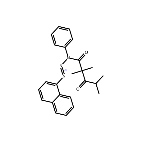 CC(C)C(=O)C(C)(C)C(=O)N(/N=N/c1cccc2ccccc12)c1ccccc1